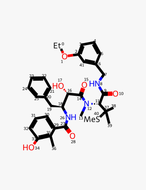 CCOc1cccc(CNC(=O)[C@@H](N(C)C(=O)[C@@H](O)[C@H](Cc2ccccc2)NC(=O)c2cccc(O)c2C)C(C)(C)SC)c1